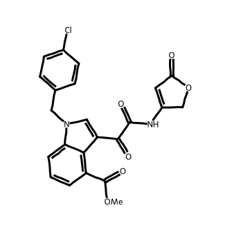 COC(=O)c1cccc2c1c(C(=O)C(=O)NC1=CC(=O)OC1)cn2Cc1ccc(Cl)cc1